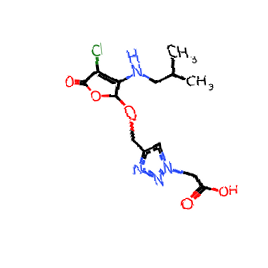 CC(C)CNC1=C(Cl)C(=O)OC1OCc1cn(CC(=O)O)nn1